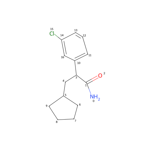 NC(=O)C(CC1CCCC1)c1cccc(Cl)c1